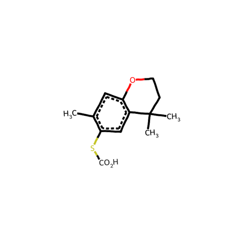 Cc1cc2c(cc1SC(=O)O)C(C)(C)CCO2